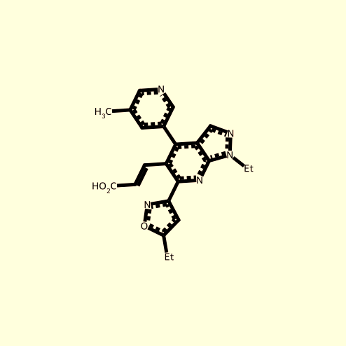 CCc1cc(-c2nc3c(cnn3CC)c(-c3cncc(C)c3)c2/C=C/C(=O)O)no1